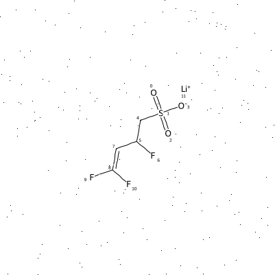 O=S(=O)([O-])CC(F)C=C(F)F.[Li+]